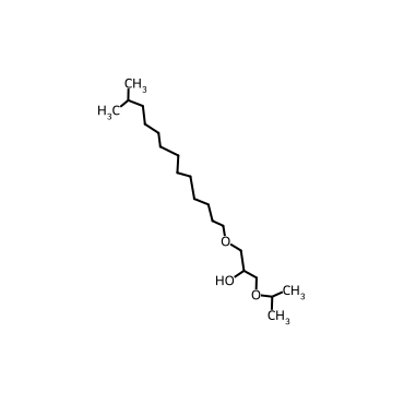 CC(C)CCCCCCCCCCCOCC(O)COC(C)C